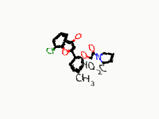 Cc1ccc(-c2cc(=O)c3cccc(Cl)c3o2)c(OCC(=O)N2CCC[C@H]2C(=O)O)c1